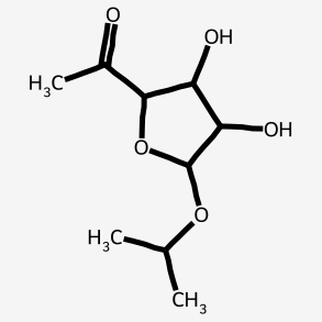 CC(=O)C1OC(OC(C)C)C(O)C1O